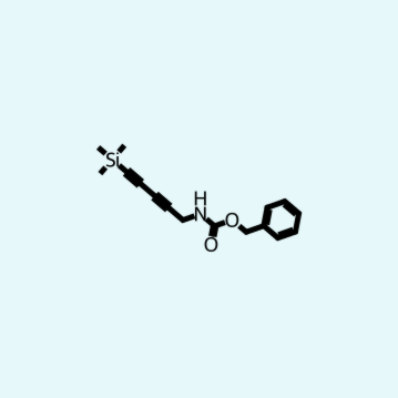 C[Si](C)(C)C#CC#CCNC(=O)OCc1ccccc1